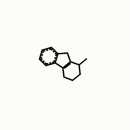 CC1CCCC2=C1Cc1ccccc12